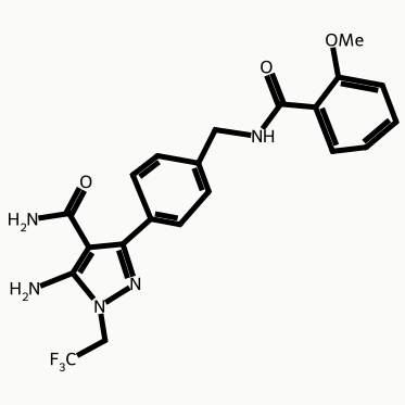 COc1ccccc1C(=O)NCc1ccc(-c2nn(CC(F)(F)F)c(N)c2C(N)=O)cc1